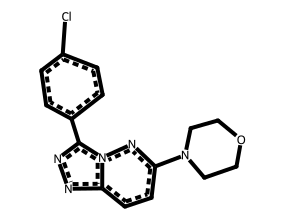 Clc1ccc(-c2nnc3ccc(N4CCOCC4)nn23)cc1